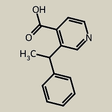 CC(c1ccccc1)c1cnccc1C(=O)O